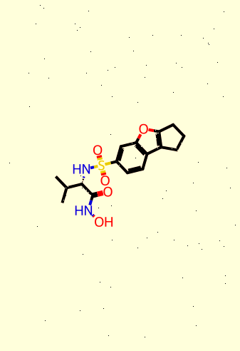 CC(C)[C@H](NS(=O)(=O)c1ccc2c3c(oc2c1)CCC3)C(=O)NO